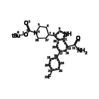 CC(C)(C)OC(=O)N1CCC(c2c[nH]c3c(C(N)=O)cc(-c4ccc(F)cc4)cc23)CC1